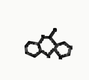 O=c1nc2ccccc2nc2ncncc12